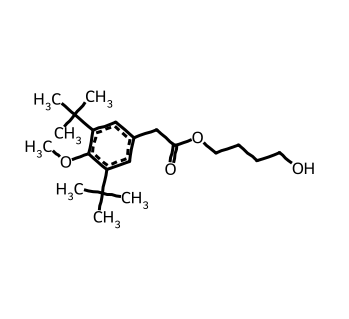 COc1c(C(C)(C)C)cc(CC(=O)OCCCCO)cc1C(C)(C)C